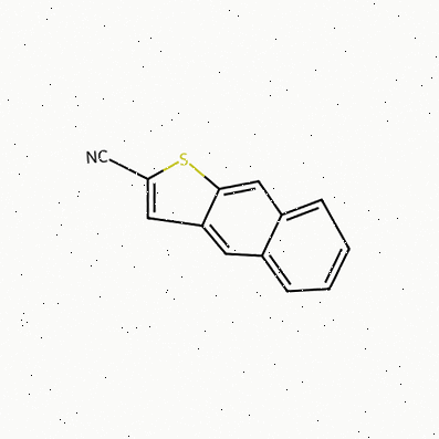 N#Cc1cc2cc3ccccc3cc2s1